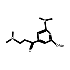 COc1cc(C(=O)CCN(C)C)cc(N(C)C)n1